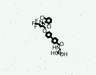 O=C(NCB(O)O)c1ccc(-c2ccc(OCc3cc(C(F)(F)F)nn3-c3c(Cl)cccc3Cl)cc2)cc1